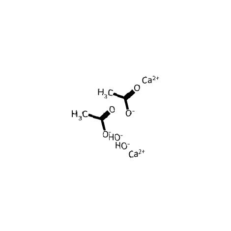 CC(=O)[O-].CC(=O)[O-].[Ca+2].[Ca+2].[OH-].[OH-]